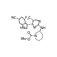 CC(C)(C)OC(=O)N1CCCC[C@H](Nc2ncc(C(F)(F)F)c(-c3c[nH]c4cc(C#N)ccc34)n2)C1